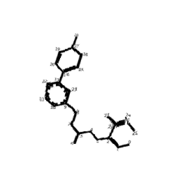 C/C=C(CCC(C)CCc1cccc(C2=CCC(C)C=C2)c1)\C(C)=N/C